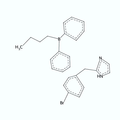 Brc1ccc(Cc2ncc[nH]2)cc1.CCCCB(c1ccccc1)c1ccccc1